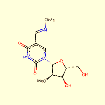 CON=Cc1cn([C@@H]2O[C@H](CO)[C@@H](O)[C@H]2OC)c(=O)[nH]c1=O